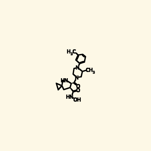 Cc1cccc(N2CCN(C(=O)[C@H]3NCC4(CC4)C[C@@H]3C(=O)NO)CC2C)c1